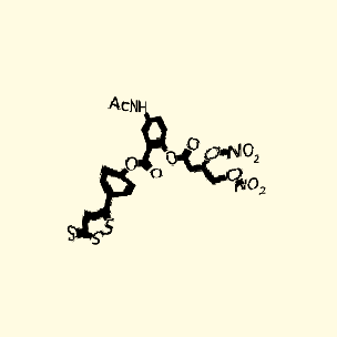 CC(=O)Nc1ccc(OC(=O)CC(CO[N+](=O)[O-])O[N+](=O)[O-])c(C(=O)Oc2ccc(-c3cc(=S)ss3)cc2)c1